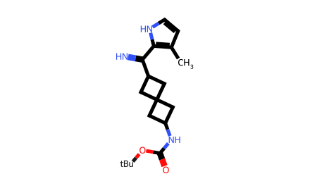 Cc1cc[nH]c1C(=N)C1CC2(CC(NC(=O)OC(C)(C)C)C2)C1